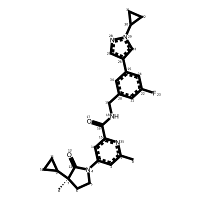 Cc1cc(N2CC[C@@](C)(C3CC3)C2=O)cc(C(=O)NCc2cc(F)cc(-c3cnn(C4CC4)c3)c2)n1